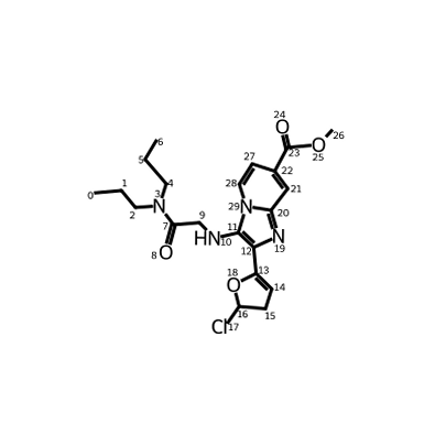 CCCN(CCC)C(=O)CNc1c(C2=CCC(Cl)O2)nc2cc(C(=O)OC)ccn12